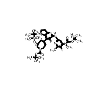 Cc1nc(Nc2nc3c(c(C4=CCN(C(=O)OC(C)(C)C)C[C@@H](O[Si](C)(C)C(C)(C)C)C4)c2F)OCC3)cc(N(C)C(=O)OC(C)(C)C)c1F